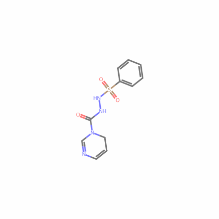 O=C(NNS(=O)(=O)c1ccccc1)N1C=NC=CC1